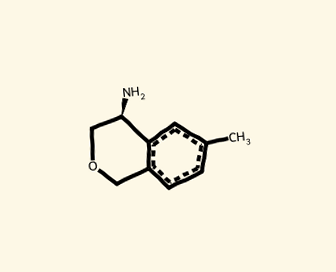 Cc1ccc2c(c1)[C@H](N)COC2